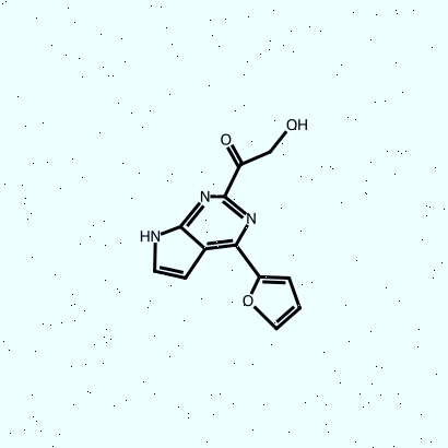 O=C(CO)c1nc(-c2ccco2)c2cc[nH]c2n1